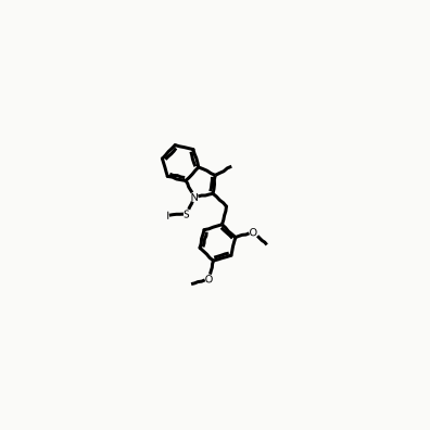 COc1ccc(Cc2c(C)c3ccccc3n2SI)c(OC)c1